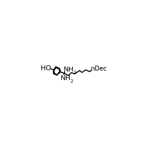 CCCCCCCCCCCCCCCCCC(N)(N)c1ccc(O)cc1